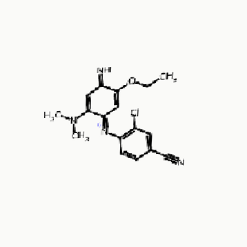 CCOC1=C/C(=N\c2ccc(C#N)cc2Cl)C(N(C)C)=CC1=N